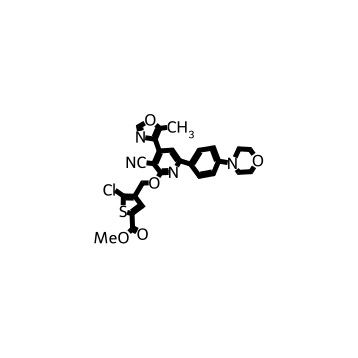 COC(=O)c1cc(COc2nc(-c3ccc(N4CCOCC4)cc3)cc(-c3ncoc3C)c2C#N)c(Cl)s1